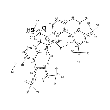 CCCC1=Cc2c(ccc(CCC)c2-c2cc(C(C)(C)C)cc(C(C)(C)C)c2)[CH]1[Zr]([Cl])([Cl])([CH]1C(CCC)=Cc2c1ccc(CCC)c2-c1cc(C(C)(C)C)cc(C(C)(C)C)c1)[SiH](C)C